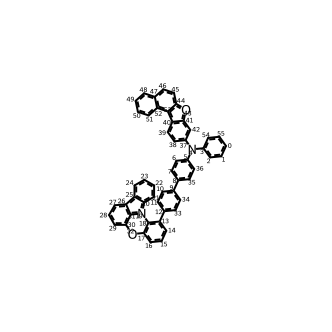 c1ccc(N(c2ccc(-c3ccc(-c4cccc5c4-n4c6ccccc6c6cccc(c64)O5)cc3)cc2)c2ccc3c(c2)oc2ccc4ccccc4c23)cc1